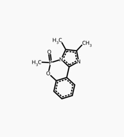 Cc1nc2n(c1C)P(C)(=O)Oc1ccccc1-2